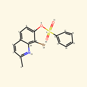 Cc1ccc2ccc(OS(=O)(=O)c3ccccc3)c(Br)c2n1